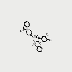 CC(=O)N(C)C1(c2ccccc2)CCN(C[C@@H]2C[C@@]2(C(=O)N(C)[C@@H](C)c2ccccc2)c2ccc(Cl)c(Cl)c2)CC1